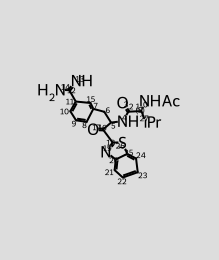 CC(=O)N[C@H](C(=O)NC(Cc1cccc(C(=N)N)c1)C(=O)c1nc2ccccc2s1)C(C)C